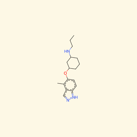 CCCNC1CCCC(Oc2ccc3[nH]ncc3c2C)C1